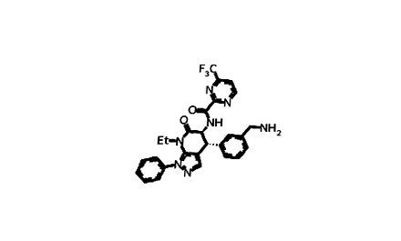 CCN1C(=O)[C@@H](NC(=O)c2nccc(C(F)(F)F)n2)[C@H](c2cccc(CN)c2)c2cnn(-c3ccccc3)c21